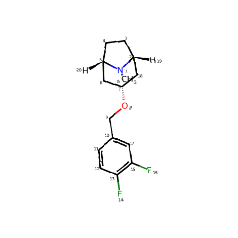 CN1[C@@H]2CC[C@H]1C[C@@H](OCc1ccc(F)c(F)c1)C2